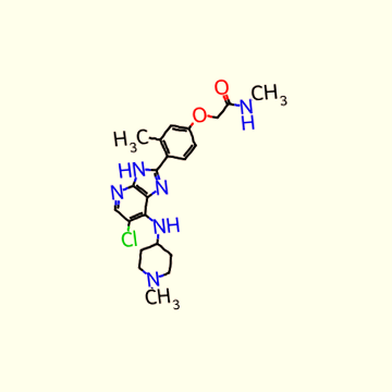 CNC(=O)COc1ccc(-c2nc3c(NC4CCN(C)CC4)c(Cl)cnc3[nH]2)c(C)c1